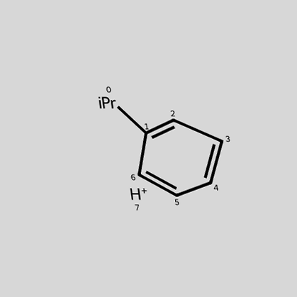 CC(C)c1ccccc1.[H+]